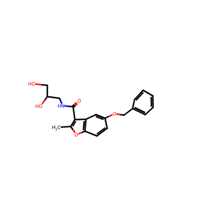 Cc1oc2ccc(OCc3ccccc3)cc2c1C(=O)NCC(O)CO